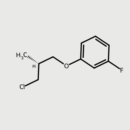 C[C@@H](CCl)COc1cccc(F)c1